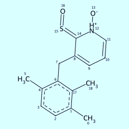 Cc1ccc(C)c(CC2=CC=C[NH+]([O-])C2=S=O)c1C